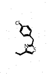 CCc1csc(Cc2ccc(Cl)cc2)n1